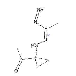 CC(=O)C1(N/C=C(/C)N=N)CC1